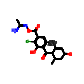 COC1=CC(=O)C[C@@H](C)C1C(=O)c1c(OC)cc(C(=O)O/N=C(/C)N)c(Cl)c1O